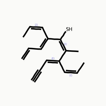 C#C/C=C(\C=C/C)C(/C)=C(/S)C(=CC=C)/C=C\C